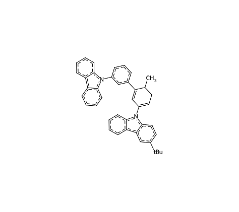 CC1CC=C(n2c3ccccc3c3cc(C(C)(C)C)ccc32)C=C1c1cccc(-n2c3ccccc3c3ccccc32)c1